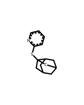 c1ccc(SC23CC4CC(CC2C4)C3)nc1